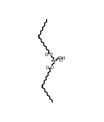 CCCCCCCC/C=C\CCCCCCCC(=O)OCC[N+](C)(CCO)CCOC(=O)CCCCCCC/C=C\CCCCCCCC.[Cl-]